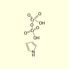 [O]=[Cr](=[O])([OH])[O][Cr](=[O])(=[O])[OH].c1cc[nH]c1